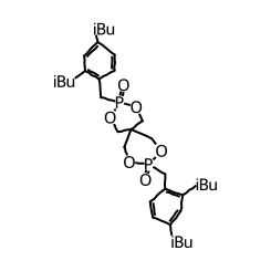 CCC(C)c1ccc(CP2(=O)OCC3(CO2)COP(=O)(Cc2ccc(C(C)CC)cc2C(C)CC)OC3)c(C(C)CC)c1